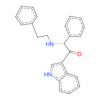 O=C(c1c[nH]c2ccccc12)[C@H](NCCc1ccccc1)c1ccccc1